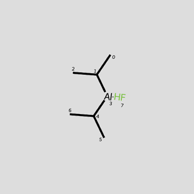 C[CH](C)[Al][CH](C)C.F